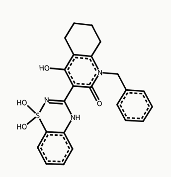 O=c1c(C2=NS(O)(O)c3ccccc3N2)c(O)c2c(n1Cc1ccccc1)CCCC2